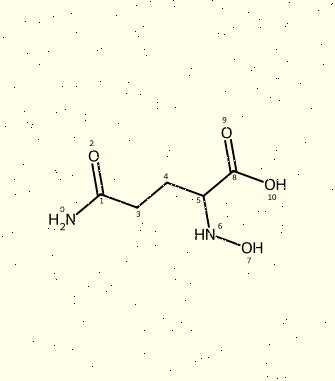 NC(=O)CCC(NO)C(=O)O